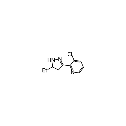 [CH2]CC1CC(c2ncccc2Cl)=NN1